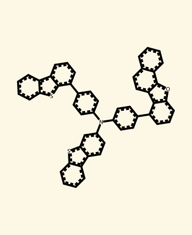 c1ccc2c(c1)ccc1c2oc2cccc(-c3ccc(N(c4ccc(-c5cccc6c5sc5ccccc56)cc4)c4ccc5c(c4)sc4ccccc45)cc3)c21